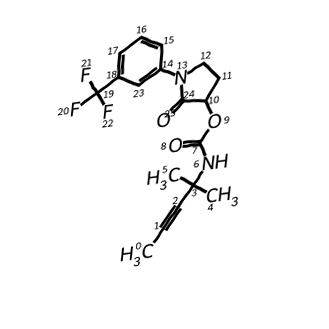 CC#CC(C)(C)NC(=O)OC1CCN(c2cccc(C(F)(F)F)c2)C1=O